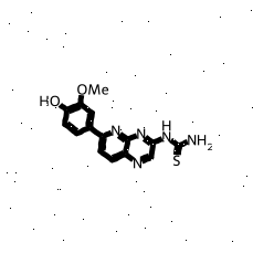 COc1cc(-c2ccc3ncc(NC(N)=S)nc3n2)ccc1O